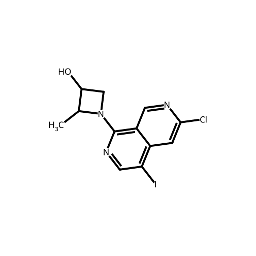 CC1C(O)CN1c1ncc(I)c2cc(Cl)ncc12